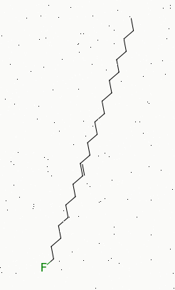 CCCCCCCCCCCCCCC=CCCCCCCCCF